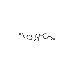 COc1ccc(S(=O)(=O)NC(=O)c2ccc(CO)nc2)cc1